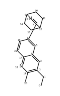 CCc1cc2cc(C3=NC4CCC3CC4)ccc2nc1C